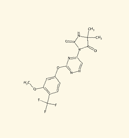 COc1cc(Oc2nncc(N3C(=O)NC(C)(C)C3=O)n2)ccc1C(F)(F)F